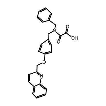 O=C(O)C(=O)N(Cc1ccccc1)Cc1ccc(OCc2ccc3ccccc3n2)cc1